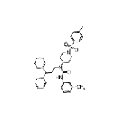 Cc1ccc(S(=O)(=O)N2CCC(N(CCC(c3ccccc3)c3ccccc3)C(=O)Nc3cccc(C(F)(F)F)c3)CC2)cc1